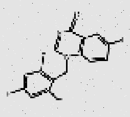 O=c1ncn(Cc2c(F)cc(F)cc2F)c2ccc(I)cc12